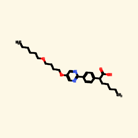 CCCCCCOCCCCOc1cnc(-c2ccc(C(CCCCC)C(=O)O)cc2)nc1